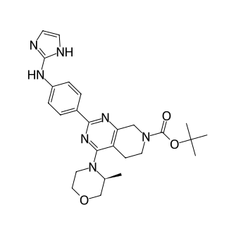 C[C@H]1COCCN1c1nc(-c2ccc(Nc3ncc[nH]3)cc2)nc2c1CCN(C(=O)OC(C)(C)C)C2